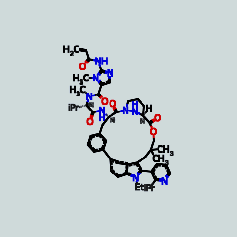 C=CC(=O)Nc1ncc(C(=O)N(C)[C@H](C(=O)N[C@H]2Cc3cccc(c3)-c3ccc4c(c3)c(c(-c3cccnc3C(C)C)n4CC)CC(C)(C)COC(=O)[C@@H]3CCCN(N3)C2=O)C(C)C)n1C